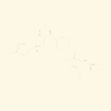 CCn1cncc1Cn1c(C=CC(=O)O)cnc1CN1CCC(c2cccc3c2OC(C)(c2ccc(Cl)cc2F)O3)CC1